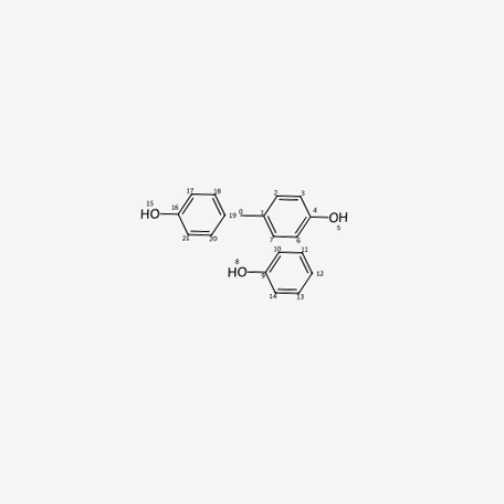 Cc1ccc(O)cc1.Oc1ccccc1.Oc1ccccc1